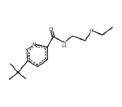 CCOCCNC(=O)c1ccc(C(C)(C)C)nn1